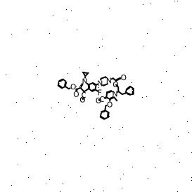 CC1=C(OCc2ccccc2)C(=C=O)C=CN1C(COC(=C=O)CN1CCN(c2cc3c(cc2F)C(=C=O)C(C(=O)OCc2ccccc2)=CN3C2CC2)CC1)Cc1ccccc1